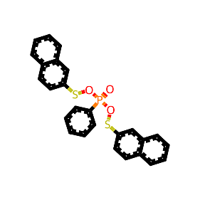 O=P(OSc1ccc2ccccc2c1)(OSc1ccc2ccccc2c1)c1ccccc1